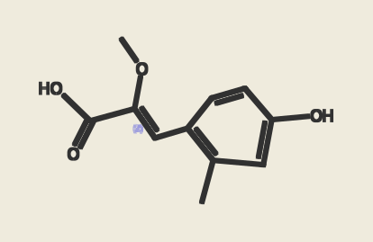 CO/C(=C\c1ccc(O)cc1C)C(=O)O